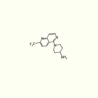 NC1CCN(c2nccc3nc(C(F)(F)F)ccc23)CC1